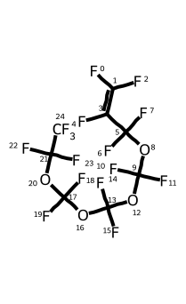 FC(F)=C(F)C(F)(F)OC(F)(F)OC(F)(F)OC(F)(F)OC(F)(F)C(F)(F)F